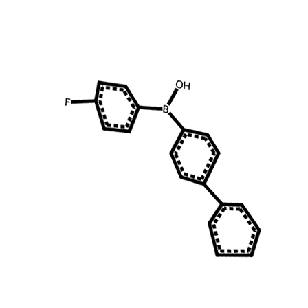 OB(c1ccc(F)cc1)c1ccc(-c2ccccc2)cc1